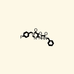 O=C(NCc1ccccc1)c1nc2ncn(Cc3ccc(F)cc3)c(=O)c2o1